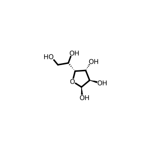 OCC(O)[C@H]1O[C@H](O)[C@H](O)[C@H]1O